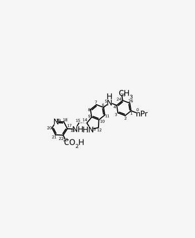 CCCc1ccc(Nc2ccc3c(c2)CN[C@@H]3CNc2cnccc2C(=O)O)c(C)c1